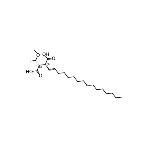 CCCCCCCSCCCCCCC=C[C@H](C(=O)O)[C@H](C(=O)O)C(C)OC